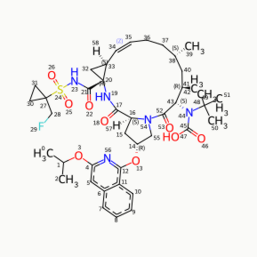 CC(C)Oc1cc2ccccc2c(O[C@@H]2C[C@H]3C(=O)N[C@]4(C(=O)NS(=O)(=O)C5(CF)CC5)C[C@H]4/C=C\CC[C@H](C)C[C@@H](C)[C@H](N(C(=O)O)C(C)(C)C)C(=O)N3C2)n1